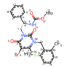 Cc1c(Br)c(=O)n(C[C@@H](NC(=O)OC(C)(C)C)c2ccccc2)c(=O)n1Cc1c(F)cccc1C(F)(F)F